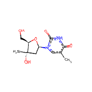 Cc1cn([C@H]2C[C@@](O)([SiH3])[C@@H](CO)O2)c(=O)[nH]c1=O